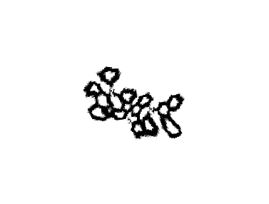 c1ccc(N(c2cccc3c2-c2ccccc2C32c3cccc(N(c4ccccc4)c4cc5ccccc5c5ccccc45)c3-c3c2sc2ccccc32)c2cc3ccccc3c3ccccc23)cc1